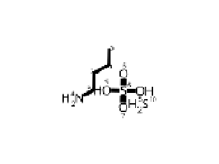 CCCCN.O=S(=O)(O)O.S